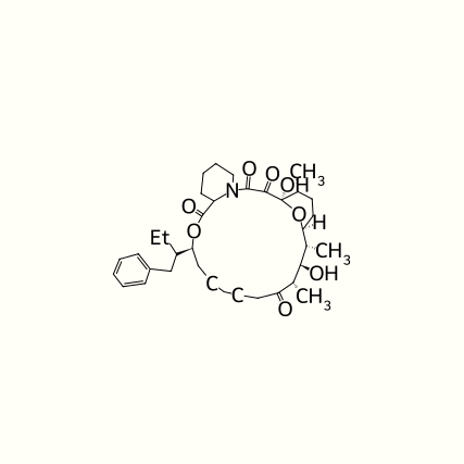 CCC(Cc1ccccc1)[C@@H]1CCCCCC(=O)[C@@H](C)[C@H](O)[C@@H](C)[C@@H]2CC[C@@H](C)[C@@](O)(O2)C(=O)C(=O)N2CCCCC2C(=O)O1